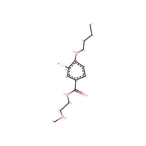 CCCCOc1ccc(C(=O)OCCOC)cc1F